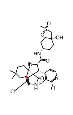 CC1(C)CCC2(CC1)N[C@@H](C(=O)N[C@H]1CC[C@](O)(CS(C)(=O)=O)CC1)[C@H](c1ccnc(Cl)c1F)[C@]21C(=O)Nc2cc(Cl)ccc21